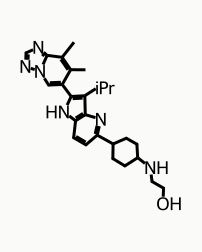 Cc1c(-c2[nH]c3ccc(C4CCC(NCCO)CC4)nc3c2C(C)C)cn2ncnc2c1C